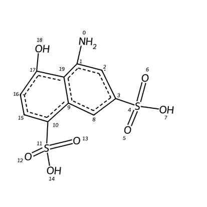 Nc1[c]c(S(=O)(=O)O)cc2c(S(=O)(=O)O)c[c]c(O)c12